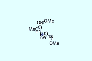 CCCc1c(/C=N\CNc2ccc(C(=O)N3CC(OC)C3)cc2OC)cccc1-c1cnn(CCOC)c1